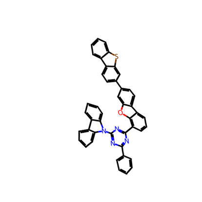 c1ccc(-c2nc(-c3cccc4c3oc3cc(-c5ccc6c(c5)sc5ccccc56)ccc34)nc(-n3c4ccccc4c4ccccc43)n2)cc1